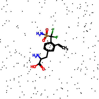 C=Cc1cc(CC(N)C(=O)O)ccc1C(F)(F)S(N)(=O)=O